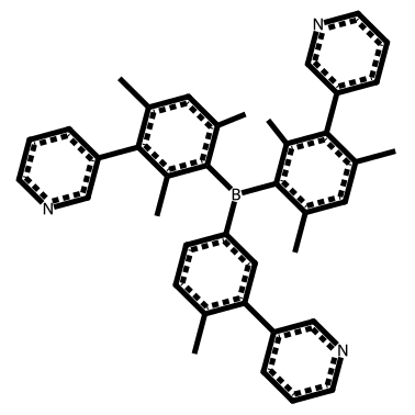 Cc1ccc(B(c2c(C)cc(C)c(-c3cccnc3)c2C)c2c(C)cc(C)c(-c3cccnc3)c2C)cc1-c1cccnc1